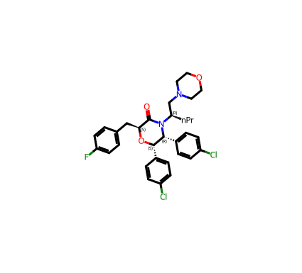 CCC[C@H](CN1CCOCC1)N1C(=O)[C@H](Cc2ccc(F)cc2)O[C@@H](c2ccc(Cl)cc2)[C@H]1c1ccc(Cl)cc1